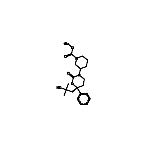 CC(C)(O)C[C@]1(c2ccccc2)CCN(C2CCCN(C(=O)OC(C)(C)C)C2)C(=O)O1